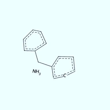 N.c1ccc(Cc2ccccc2)cc1